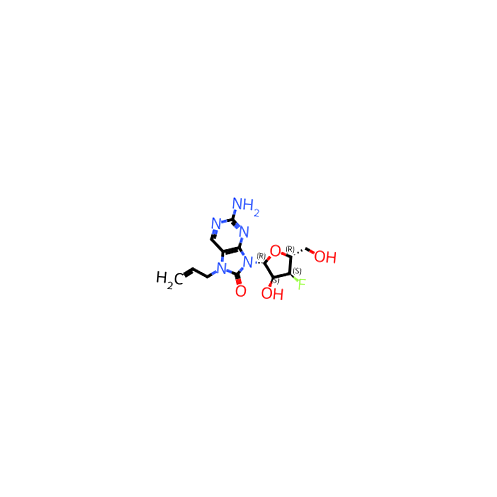 C=CCn1c(=O)n([C@@H]2O[C@H](CO)[C@@H](F)[C@H]2O)c2nc(N)ncc21